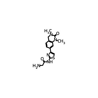 CN1Cc2ccc(-c3csc(NC(=O)CN)n3)cc2N(C)C1=O